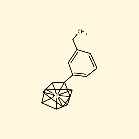 CCc1cccc([C]23[CH]4[CH]5[CH]6[CH]2[Fe]56432789[CH]3[CH]2[CH]7[CH]8[CH]39)c1